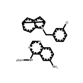 CCCCCNc1ncnc2ccc(N)cc12.Clc1cccc(Cn2c3cc4cc-3ccc42)c1